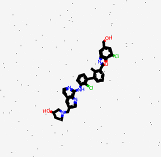 Cc1c(-c2nc3cc(CO)cc(Cl)c3o2)cccc1-c1cccc(Nc2nccc3cc(CN4CCC(O)C4)cnc23)c1Cl